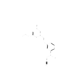 CCCC(COc1cccc(C(O)CC#N)c1)CC(=O)OCC